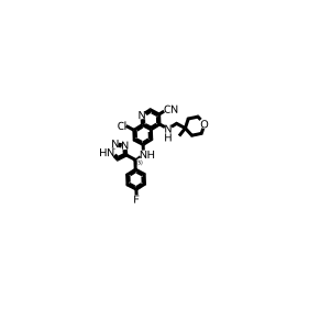 CC1(CNc2c(C#N)cnc3c(Cl)cc(N[C@@H](c4ccc(F)cc4)c4c[nH]nn4)cc23)CCOCC1